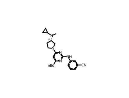 CCCCc1cc(N2CC[C@H](N(C)C3CC3)C2)nc(Nc2cccc(C#N)c2)n1